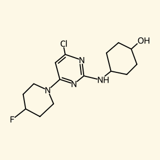 OC1CCC(Nc2nc(Cl)cc(N3CCC(F)CC3)n2)CC1